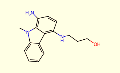 Cn1c2ccccc2c2c(NCCCO)ccc(N)c21